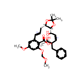 COCOc1cc(OC)cc(/C=C/C[C@@H]2OC(C)(C)O[C@@H]2C(O)/C=C\C(Cc2ccccc2)[C@H](C)O)c1C(=O)O